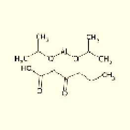 CC(C)[O][Al][O]C(C)C.CCCC(=O)CC(=O)O